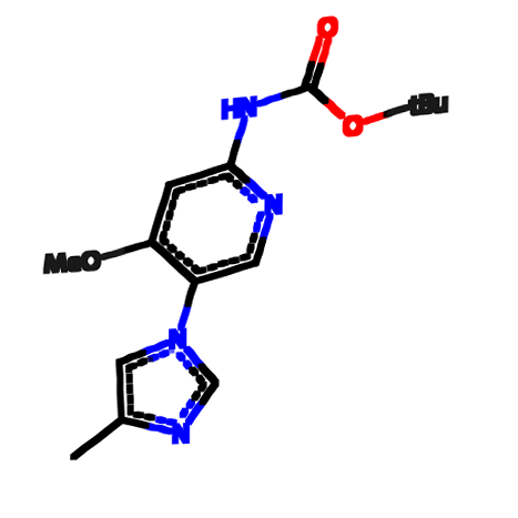 COc1cc(NC(=O)OC(C)(C)C)ncc1-n1cnc(C)c1